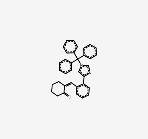 O=C1CCCCC1=Cc1ccccc1-c1cn(C(c2ccccc2)(c2ccccc2)c2ccccc2)cn1